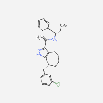 C=C(N[C@@H](COC)C1C=CC=CC1)c1n[nH]c2c1CCCC[C@@H]2Cc1cccc(Cl)c1